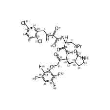 CC(C)C[C@H](NC(=O)C(=O)NCc1cc(Cl)ccc1Cl)C(=O)N[C@@H](C[C@@H]1CCNC1=O)C(=O)COc1c(F)c(F)cc(F)c1F